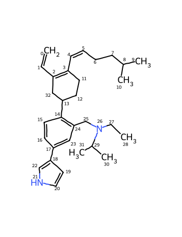 C=CC1=C(/C=C\CCC(C)C)CCC(c2ccc(-c3cc[nH]c3)cc2CN(CC)C(C)C)C1